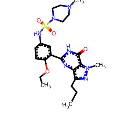 CCCc1nn(C)c2c(=O)[nH]c(-c3cc(NS(=O)(=O)N4CCN(C)CC4)ccc3OCC)nc12